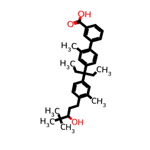 CCC(CC)(c1ccc(CCC(O)C(C)(C)C)c(C)c1)c1ccc(-c2cccc(C(=O)O)c2)c(C)c1